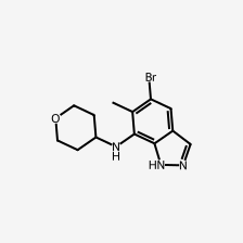 Cc1c(Br)cc2cn[nH]c2c1NC1CCOCC1